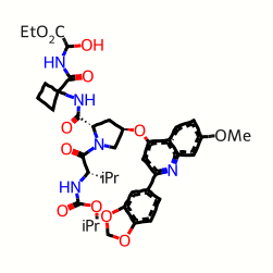 CCOC(=O)C(O)NC(=O)C1(NC(=O)[C@@H]2C[C@@H](Oc3cc(-c4ccc5c(c4)OCO5)nc4cc(OC)ccc34)CN2C(=O)[C@@H](NC(=O)OC(C)C)C(C)C)CCC1